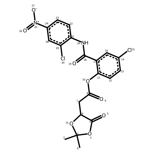 CC1(C)OC(=O)C(CC(=O)Oc2ccc(Cl)cc2C(=O)Nc2ccc([N+](=O)[O-])cc2Cl)O1